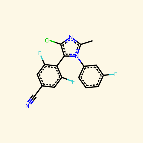 Cc1nc(Cl)c(-c2c(F)cc(C#N)cc2F)n1-c1cccc(F)c1